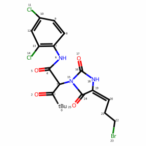 CC(C)(C)C(=O)C(C(=O)Nc1ccc(Cl)cc1Cl)N1C(=O)NC(=CCCBr)C1=O